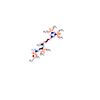 C=C(/N=C(\C/N=C(\N)P(=O)(COC)OC)P(=O)(OC)OC)OCCOc1nc(P(=O)(OC)OC)nc(P(=O)(OC)OC)n1